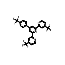 FC(F)(F)c1ccc(-c2cc(-c3cc(C(F)(F)F)ccn3)nc(-c3cc(C(F)(F)F)ccn3)c2)cc1